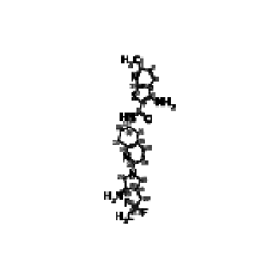 Cc1ccc2c(N)c(C(=O)N[C@H]3CCc4nc(N5C[C@@H](CC(C)(F)F)[C@@H](N)C5)ccc4C3)sc2n1